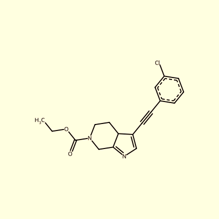 CCOC(=O)N1CCC2C(C#Cc3cccc(Cl)c3)=CN=C2C1